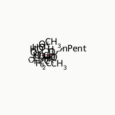 C=C(C)[C@@]12OC3(/C=C/C=C/CCCCC)O[C@@H]1[C@@H]1[C@@H]4O[C@]4(COC(=O)c4ccccc4)[C@@H](O)[C@]4(O)C(=O)C(C)=C[C@H]4[C@@]1(O3)[C@H](C)[C@H]2C